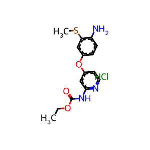 CCOC(=O)Nc1cc(Oc2ccc(N)c(SC)c2)ccn1.Cl